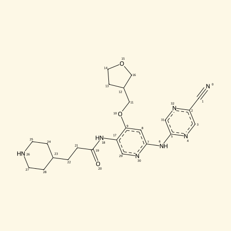 N#Cc1cnc(Nc2cc(OCC3CCOC3)c(NC(=O)CCC3CCNCC3)cn2)cn1